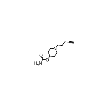 C#CCCCN1CCC(OC(N)=O)CC1